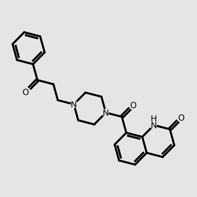 O=C(CCN1CCN(C(=O)c2cccc3ccc(=O)[nH]c23)CC1)c1ccccc1